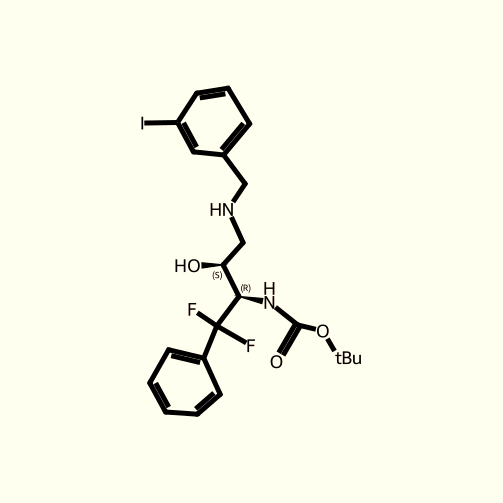 CC(C)(C)OC(=O)N[C@H]([C@@H](O)CNCc1cccc(I)c1)C(F)(F)c1ccccc1